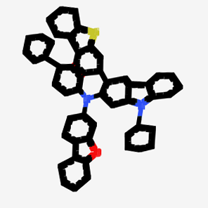 c1ccc(-c2ccc(N(c3ccc4c(c3)oc3ccccc34)c3cc4c(cc3-c3ccc5c(c3)sc3ccccc35)c3ccccc3n4-c3ccccc3)cc2)cc1